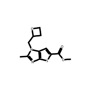 COC(=O)c1cc2c(nc(C)n2CC2CCO2)s1